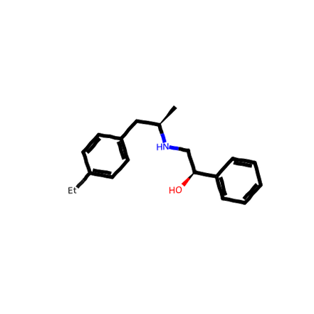 CCc1ccc(C[C@@H](C)NC[C@H](O)c2ccccc2)cc1